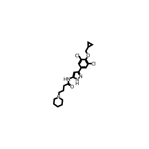 O=C(CCCN1CCCCC1)Nc1cc(-c2cc(Cl)c(OCC3CC3)c(Cl)c2)n[nH]1